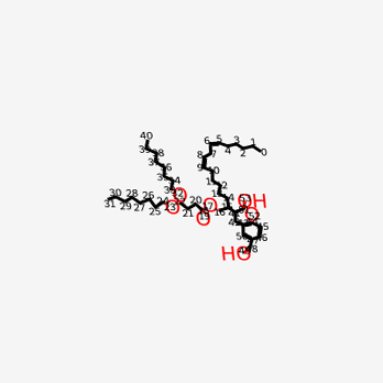 CCCCC/C=C\C/C=C\CCCCCC(COC(=O)CCC(OCCCCCCCC)OCCCCCCCC)C(Cc1cccc(CO)c1)C(=O)O